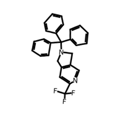 FC(F)(F)c1cc2c(cn1)CN(C(c1ccccc1)(c1ccccc1)c1ccccc1)C2